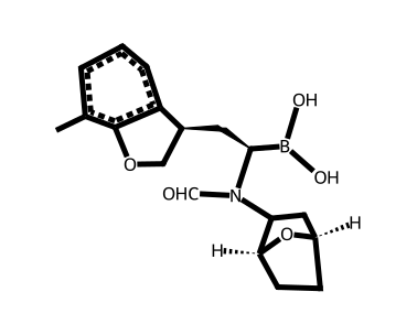 Cc1cccc2c1OC[C@@H]2C[C@@H](B(O)O)N(C=O)C1C[C@H]2CC[C@@H]1O2